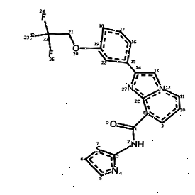 O=C(Nc1nccs1)c1cccn2cc(-c3cccc(OCC(F)(F)F)c3)nc12